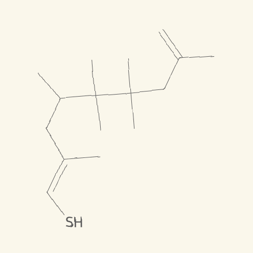 C=C(C)CC(C)(C)C(C)(C)C(C)C/C(C)=C/S